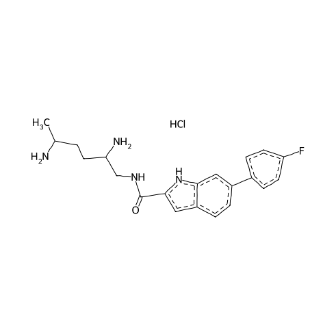 CC(N)CCC(N)CNC(=O)c1cc2ccc(-c3ccc(F)cc3)cc2[nH]1.Cl